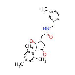 Cc1cccc(CNC(=O)CC2CC(=O)C(c3c(C)cc(C)cc3C)C2=O)c1